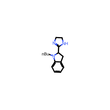 CCCCN1c2ccccc2CC1C1=NCCN1